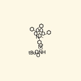 Cc1c(-c2ccc3c(c2)cc2n3CC(NC(=O)OC(C)(C)C)C2)nc(OCc2ccccc2)c(C(=O)OCc2ccccc2)c1OCc1ccccc1